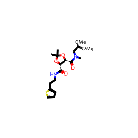 COC(CN(C)C(=O)[C@@H]1OC(C)(C)O[C@H]1C(=O)NCCc1cccs1)OC